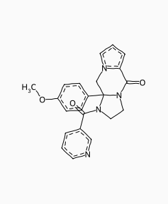 COc1ccc(C23Cn4cccc4C(=O)N2CCN3C(=O)c2cccnc2)cc1